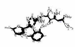 CN/C(C)=C\C(=N)C(O)C(C)SNc1nnc(C2=C=C=CC(OC)=N2)n1-c1c(O)cccc1OC